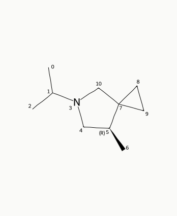 CC(C)N1C[C@H](C)C2(CC2)C1